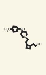 Cc1ccc(NC2CCN(CCC3CCC3CCO)CC2)cc1